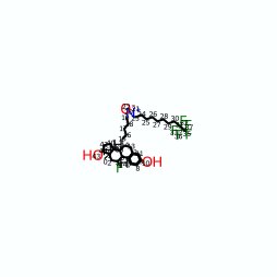 C[C@]12C[C@H](F)[C@@H]3c4ccc(O)cc4C[C@@H](CCCCC[N+](C)([O-])CCCCCCCCC(F)(F)C(F)(F)F)[C@H]3[C@@H]1CC[C@@H]2O